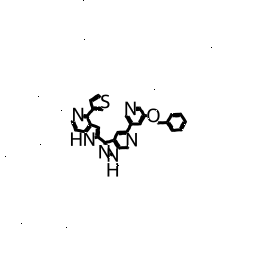 c1ccc(COc2cncc(-c3cc4c(-c5cc6c(-c7ccsc7)nccc6[nH]5)n[nH]c4cn3)c2)cc1